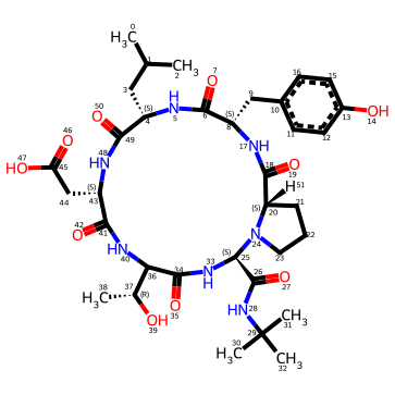 CC(C)C[C@@H]1NC(=O)[C@H](Cc2ccc(O)cc2)NC(=O)[C@@H]2CCCN2[C@@H](C(=O)NC(C)(C)C)NC(=O)C([C@@H](C)O)NC(=O)[C@H](CC(=O)O)NC1=O